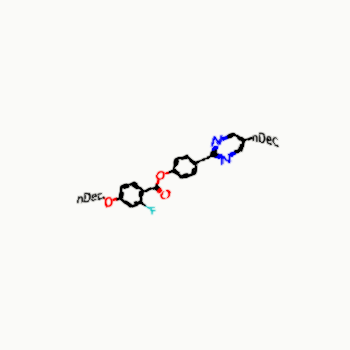 CCCCCCCCCCOc1ccc(C(=O)Oc2ccc(-c3ncc(CCCCCCCCCC)cn3)cc2)c(F)c1